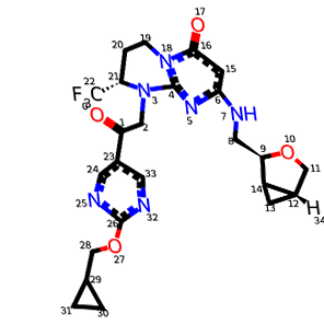 O=C(CN1c2nc(NC[C@H]3OC[C@@H]4CC43)cc(=O)n2CC[C@H]1C(F)(F)F)c1cnc(OCC2CC2)nc1